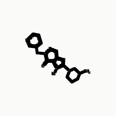 CCn1c(N2CCCC(N)C2)nc2cnn(Cc3cccnc3)c(=O)c21